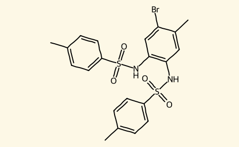 Cc1ccc(S(=O)(=O)Nc2cc(C)c(Br)cc2NS(=O)(=O)c2ccc(C)cc2)cc1